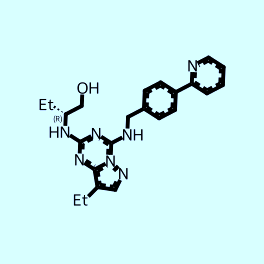 CCc1cnn2c(NCc3ccc(-c4ccccn4)cc3)nc(N[C@H](CC)CO)nc12